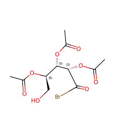 CC(=O)O[C@H]([C@H](OC(C)=O)C(=O)Br)[C@@H](CO)OC(C)=O